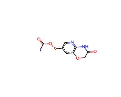 O=C1COc2cc(SOC(=O)I)cnc2N1